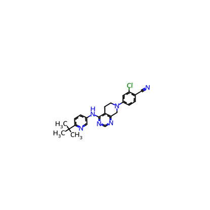 CC(C)(C)c1ccc(Nc2ncnc3c2CCN(c2ccc(C#N)c(Cl)c2)C3)cn1